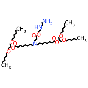 CCCCCCOCC(COCCCCCC)OC(=O)CCCCCCCN(CCCCCCCC(=O)OC(COCCCCCC)COCCCCCC)CCC(=O)OCCNCCN